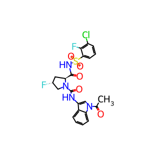 CC(=O)n1cc(NC(=O)N2C[C@H](F)C[C@H]2C(=O)NS(=O)(=O)c2cccc(Cl)c2F)c2ccccc21